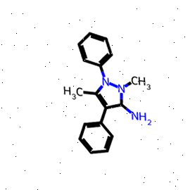 CC1=C(c2ccccc2)C(N)N(C)N1c1ccccc1